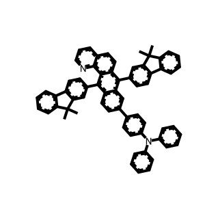 CC1(C)c2ccccc2-c2ccc(-c3c4cc(-c5ccc(N(c6ccccc6)c6ccccc6)cc5)ccc4c(-c4ccc5c(c4)C(C)(C)c4ccccc4-5)c4c3ccc3cccnc34)cc21